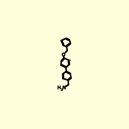 NCc1ccc(-c2c[c]c(OCc3ccccc3)cc2)cc1